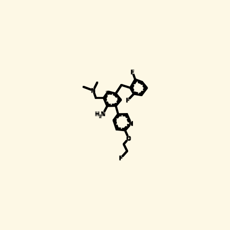 CN(C)Cc1[c]c(Cc2c(F)cccc2F)cc(-c2ccc(OCCF)nc2)c1N